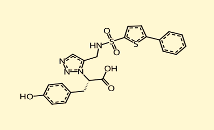 O=C(O)[C@H](Cc1ccc(O)cc1)n1nncc1CNS(=O)(=O)c1ccc(-c2ccccc2)s1